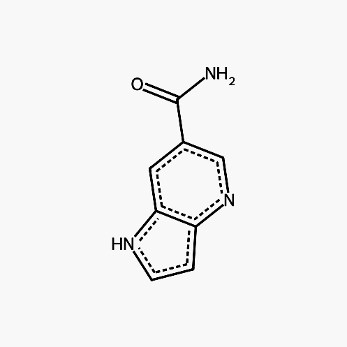 NC(=O)c1cnc2cc[nH]c2c1